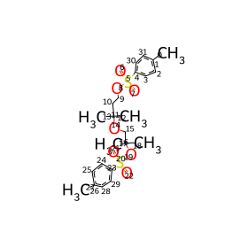 Cc1ccc(S(=O)(=O)OCCC(C)(C)OCC(C)(C)OS(=O)(=O)c2ccc(C)cc2)cc1